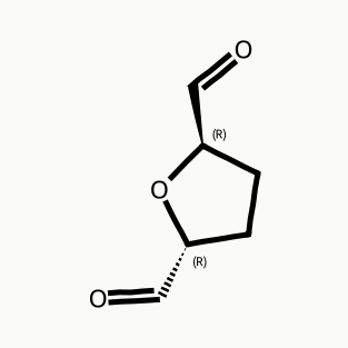 O=C[C@H]1CC[C@H](C=O)O1